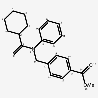 C=C(C1CCCCC1)N(Cc1ccc(C(=O)OC)cc1)c1ccccc1